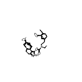 CCN(CCc1ccc(C)c(Cl)c1)C(=O)Oc1[nH]nc2c1-c1ccc(Cl)cc1CC2